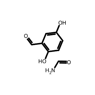 NC=O.O=Cc1cc(O)ccc1O